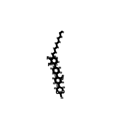 CCCCCCCCCCc1ccc(-c2ccc(-c3ccc(C4COC(C)OC4)cc3F)cc2)c(F)c1F